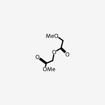 COCC(=O)OCC(=O)OC